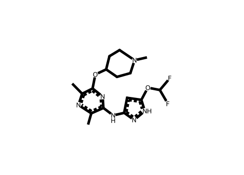 Cc1nc(C)c(OC2CCN(C)CC2)nc1Nc1cc(OC(F)F)[nH]n1